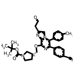 Cc1ccc(-c2c(-c3ccc(C#N)cc3)nc(OC[C@@H]3CCN(C(=O)OC(C)(C)C)C3)c3nc(CC=O)cn23)cc1